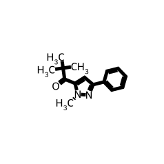 Cn1nc(-c2ccccc2)cc1C(=O)C(C)(C)C